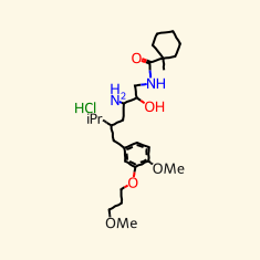 COCCCOc1cc(CC(CC(N)C(O)CNC(=O)C2(C)CCCCC2)C(C)C)ccc1OC.Cl